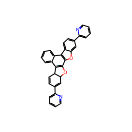 C1=CC2c3c(c4oc5cc(-c6ccccn6)ccc5c4c4ccccc34)OC2C=C1c1ccccn1